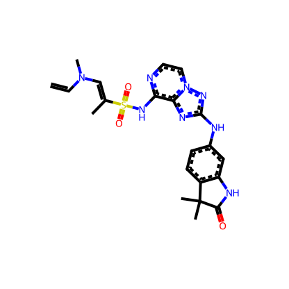 C=CN(C)/C=C(\C)S(=O)(=O)Nc1nccn2nc(Nc3ccc4c(c3)NC(=O)C4(C)C)nc12